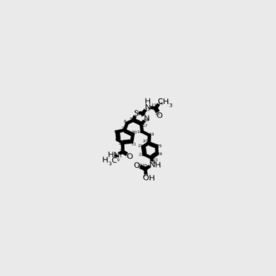 CNC(=O)c1ccc(Cc2sc(NC(C)=O)nc2CCc2ccc(NC(=O)O)cc2)cc1